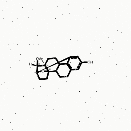 CC(=O)O[C@H]1[C@@]23c4cc(O)cc5c4C4CC[C@@]1(C)[C@](CC2)(C3)C4CC5